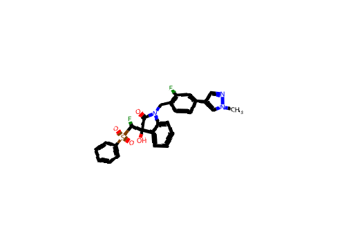 Cn1cc(-c2ccc(CN3C(=O)C(O)(C(F)S(=O)(=O)c4ccccc4)c4ccccc43)c(F)c2)cn1